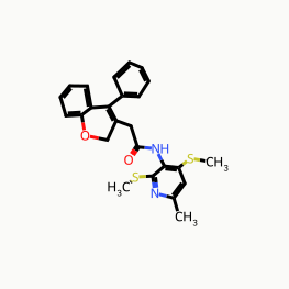 CSc1cc(C)nc(SC)c1NC(=O)CC1=C(c2ccccc2)c2ccccc2OC1